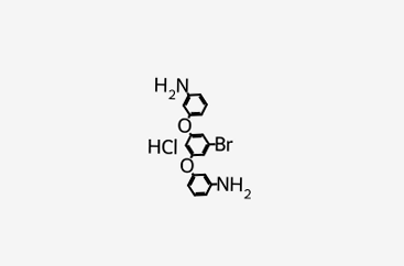 Cl.Nc1cccc(Oc2cc(Br)cc(Oc3cccc(N)c3)c2)c1